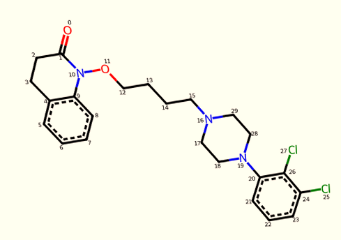 O=C1CCc2ccccc2N1OCCCCN1CCN(c2cccc(Cl)c2Cl)CC1